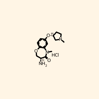 CN1CC[C@@H](Oc2ccc3c(c2)N(C)C(=O)[C@@H](N)CO3)C1.Cl